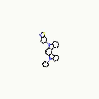 c1ccc(-n2c3ccccc3c3c4c5ccccc5n(-c5ccc6ncsc6c5)c4ccc32)cc1